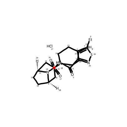 CCc1cc(C(=O)N[C@H]2C[C@H]3CC[C@@H](C2)N3S(=O)(=O)N2CCC(N)CC2)ns1.Cl